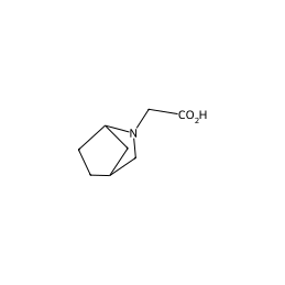 O=C(O)CN1CC2CCC1C2